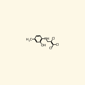 Cc1ccc(NCC(Cl)=C(Cl)Cl)c(O)c1